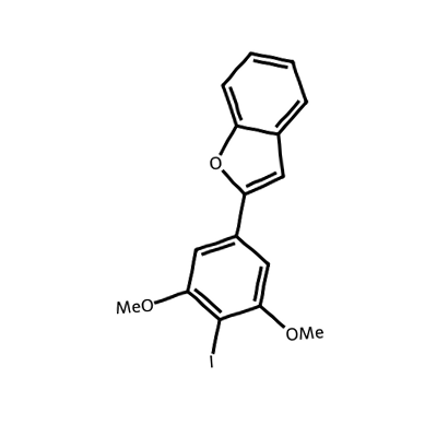 COc1cc(-c2cc3ccccc3o2)cc(OC)c1I